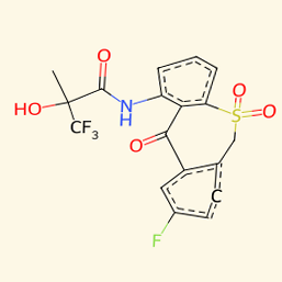 CC(O)(C(=O)Nc1cccc2c1C(=O)c1cc(F)ccc1CS2(=O)=O)C(F)(F)F